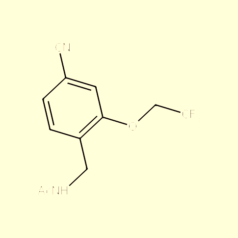 CC(=O)NCc1ccc(C#N)cc1OCC(F)(F)F